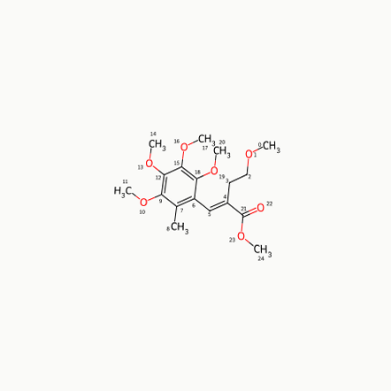 COCC/C(=C\c1c(C)c(OC)c(OC)c(OC)c1OC)C(=O)OC